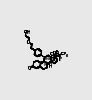 C[C@]12C[C@H](c3ccc(CCOCCO)cc3)C3=C4CCC(=O)C=C4CC[C@H]3[C@@H]1CC[C@@]2(O)C(F)(F)C(F)(F)F